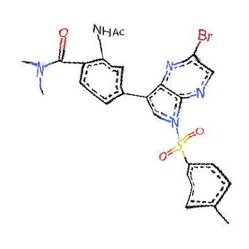 CC(=O)Nc1cc(-c2cn(S(=O)(=O)c3ccc(C)cc3)c3ncc(Br)nc23)ccc1C(=O)N(C)C